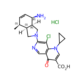 C[C@H]1C=C[C@@H](N)[C@H]2CN(c3ncc4c(=O)c(C(=O)O)cn(C5CC5)c4c3Cl)C[C@H]21.Cl